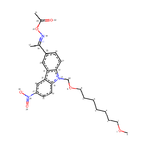 COCCCCCCCOCn1c2ccc(/C(C)=N/OC(C)=O)cc2c2cc([N+](=O)[O-])ccc21